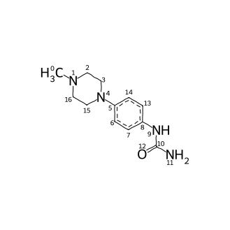 CN1CCN(c2ccc(NC(N)=O)cc2)CC1